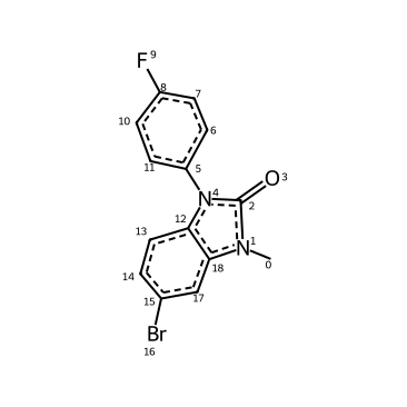 Cn1c(=O)n(-c2ccc(F)cc2)c2ccc(Br)cc21